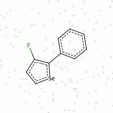 Fc1cc[se]c1-c1ccccc1